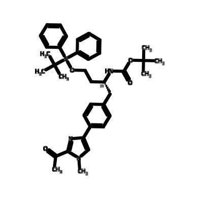 CC(=O)c1nc(-c2ccc(C[C@H](CCO[Si](c3ccccc3)(c3ccccc3)C(C)(C)C)NC(=O)OC(C)(C)C)cc2)cn1C